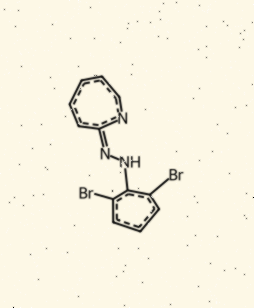 Brc1cccc(Br)c1N/N=c1/cccccn1